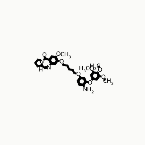 COc1cc2c(cc1OCCCCCOc1ccc(N)c(Oc3cc(OC)c(OC)c(OC)c3)c1)N=C[C@@H]1CCCN1C2=O